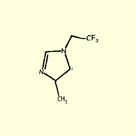 CC1[C]N(CC(F)(F)F)[C]=N1